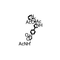 CC(=O)NC[C@H]1CN(c2ccc(C3=C[C@@H](C(OC(C)=O)(Sc4ncccn4)C(C)=O)NC3)cc2)C(=O)O1